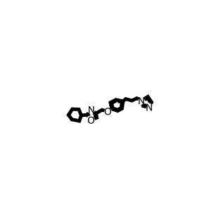 c1cn(CCCc2ccc(OCc3coc(C4CCCCC4)n3)cc2)cn1